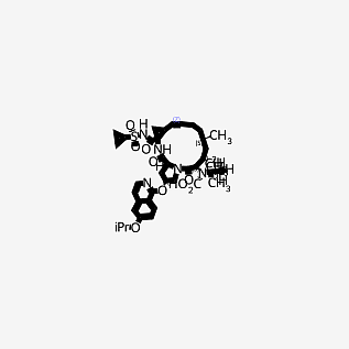 [2H]C([2H])([2H])C(C)(C)N(C(=O)O)[C@@H]1C(=O)N2C[C@H](Oc3nccc4cc(OC(C)C)ccc34)C[C@H]2C(=O)NC2(C(=O)NS(=O)(=O)C3CC3)CC2/C=C\CC[C@H](C)C[C@H]1C